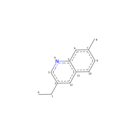 CCc1cnc2cc(C)ccc2c1